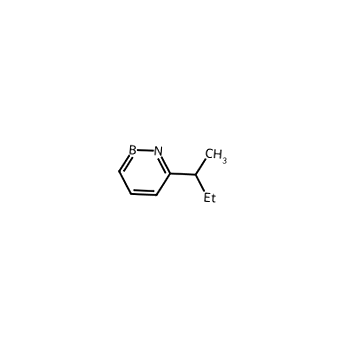 CCC(C)c1cccbn1